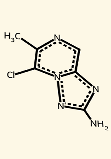 Cc1ncc2nc(N)nn2c1Cl